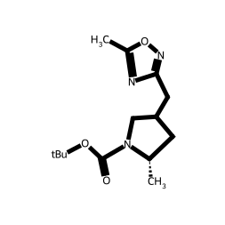 Cc1nc(CC2C[C@H](C)N(C(=O)OC(C)(C)C)C2)no1